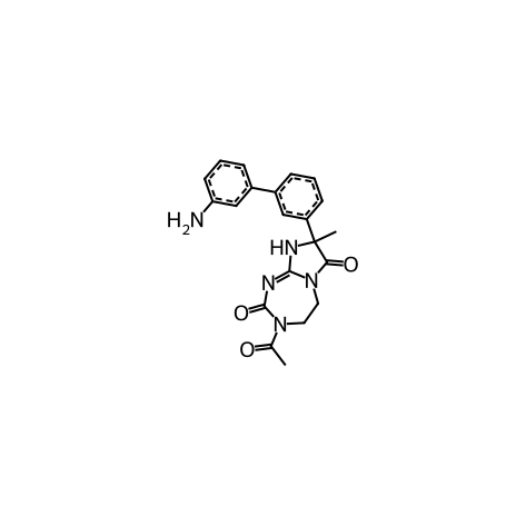 CC(=O)N1CCN2C(=O)C(C)(c3cccc(-c4cccc(N)c4)c3)NC2=NC1=O